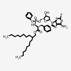 CCCCCCCCC(CCCCCCCC)COC(=O)[C@H](Cc1ccccc1)NP(=O)(OC[C@H]1O[C@@H](n2cnc3c(N)nc(F)nc32)C[C@@H]1O)Oc1ccccc1